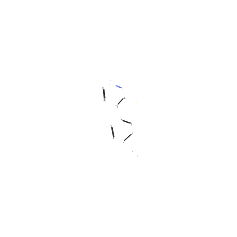 N#Cc1ccc(-c2c(F)cncc2F)cc1